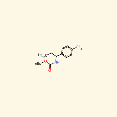 CCCCOC(=O)NC(CC(=O)O)c1ccc(C(F)(F)F)cc1